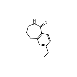 CCc1ccc2c(c1)CCCNC2=O